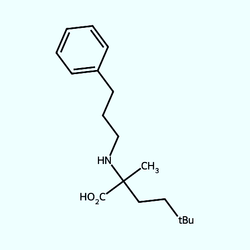 CC(C)(C)CCC(C)(NCCCc1ccccc1)C(=O)O